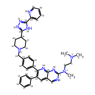 CN(C)CCN(C)c1ncc2cc(-c3ccccc3)c(-c3ccc(CN4CCC(c5nnc(-c6ccccn6)[nH]5)CC4)cc3)nc2n1